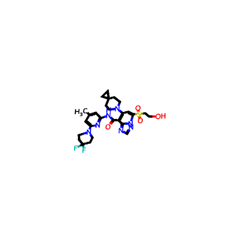 Cc1cc(NC(=O)c2c(N3CCC4(CC3)CC4)cc(S(=O)(=O)CCO)n3ncnc23)nc(N2CCC(F)(F)CC2)c1